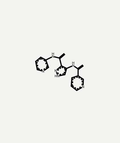 C=C(Nc1c[nH]nc1C(=C)Nc1cccnc1)c1cccnc1